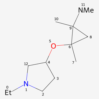 CCN1CCC(OC2(C)CC2(C)NC)C1